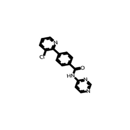 O=C(Nc1ccncn1)c1ccc(-c2ncccc2Cl)cc1